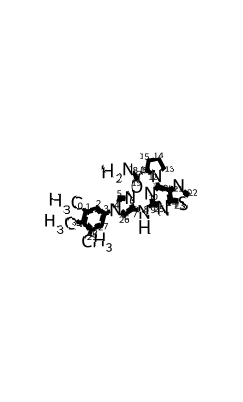 Cc1cc(-n2cnc(Nc3nc(N4CCC[C@H]4C(N)=O)c4ncsc4n3)c2)cc(C)c1C